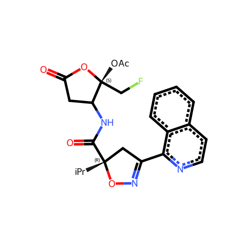 CC(=O)O[C@]1(CF)OC(=O)CC1NC(=O)[C@]1(C(C)C)CC(c2nccc3ccccc23)=NO1